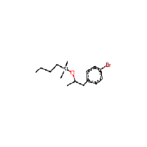 CCCC[Si](C)(C)OC(C)Cc1ccc(Br)cc1